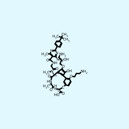 Cc1nc(-c2ccc(C(C)(C)C)cc2)nc(N)c1C(=O)NCC(=O)N(C)[C@@H]1C(=O)N[C@@H](C)C(=O)N[C@H](C(=O)O)Cc2ccc(OCCCN)c(c2)-c2cc1cc(OC[C@@H](O)CN)c2O